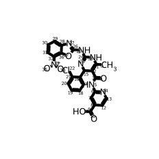 CC1=C(C(=O)Nc2cc(C(=O)O)ccn2)C(c2ccccc2Cl)N=C(Nc2nc3cccc([N+](=O)[O-])c3o2)N1